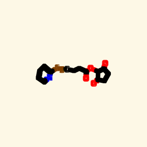 O=C(CCCSSc1ccccn1)OC1C(=O)CCC1=O